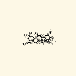 [C-]#[N+]C1=C[C@]2(C)C3=CC(=O)C4C5CC(C)(C)CC[C@]5(N=C=C)CC[C@@]4(C)[C@]3(C)CC[C@H]2C(C)(C)C1=O